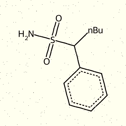 CCCCC(c1ccccc1)S(N)(=O)=O